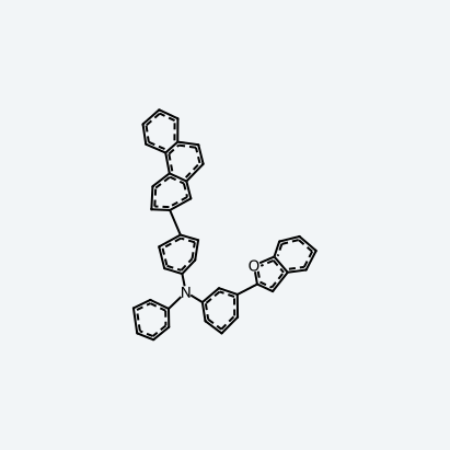 c1ccc(N(c2ccc(-c3ccc4c(ccc5ccccc54)c3)cc2)c2cccc(-c3cc4ccccc4o3)c2)cc1